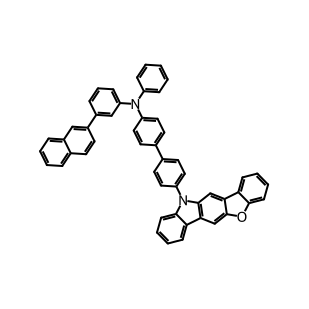 c1ccc(N(c2ccc(-c3ccc(-n4c5ccccc5c5cc6oc7ccccc7c6cc54)cc3)cc2)c2cccc(-c3ccc4ccccc4c3)c2)cc1